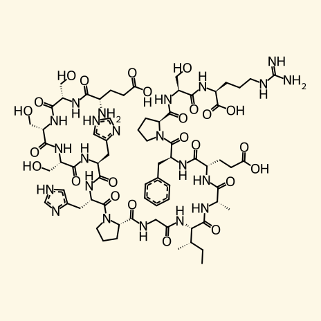 CC[C@H](C)[C@H](NC(=O)CNC(=O)[C@@H]1CCCN1C(=O)[C@H](Cc1c[nH]cn1)NC(=O)[C@H](Cc1c[nH]cn1)NC(=O)[C@H](CO)NC(=O)[C@H](CO)NC(=O)[C@H](CO)NC(=O)[C@@H](N)CCC(=O)O)C(=O)N[C@@H](C)C(=O)N[C@@H](CCC(=O)O)C(=O)N[C@@H](Cc1ccccc1)C(=O)N1CCC[C@H]1C(=O)N[C@@H](CO)C(=O)N[C@@H](CCCNC(=N)N)C(=O)O